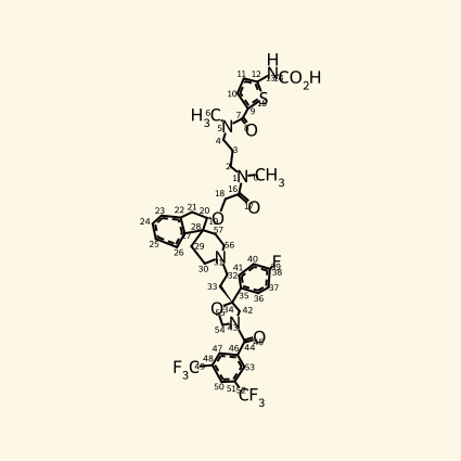 CN(CCCN(C)C(=O)c1ccc(NC(=O)O)s1)C(=O)CO[C@H]1Cc2ccccc2C12CCN(CC[C@@]1(c3ccc(F)cc3)CN(C(=O)c3cc(C(F)(F)F)cc(C(F)(F)F)c3)CO1)CC2